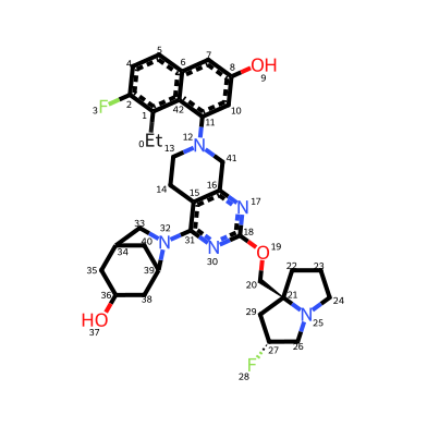 CCc1c(F)ccc2cc(O)cc(N3CCc4c(nc(OC[C@@]56CCCN5C[C@H](F)C6)nc4N4CC5CC(O)CC4C5)C3)c12